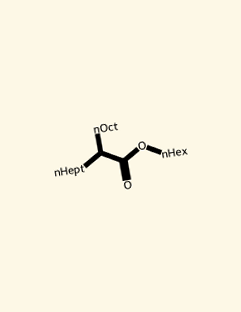 CCCCCCCCC(CCCCCCC)C(=O)OCCCCCC